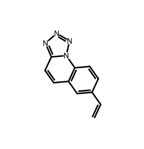 C=Cc1ccc2c(ccc3nnnn32)c1